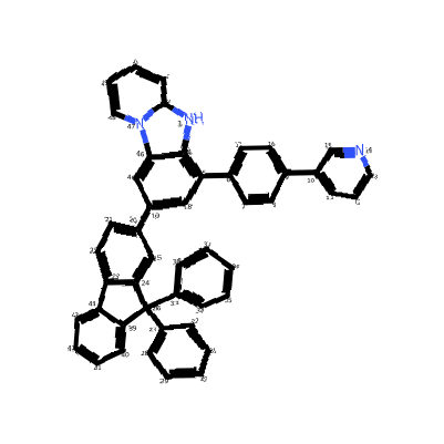 C1=CC2Nc3c(-c4ccc(-c5cccnc5)cc4)cc(-c4ccc5c(c4)C(c4ccccc4)(c4ccccc4)c4ccccc4-5)cc3N2C=C1